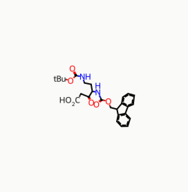 CC(C)(C)OC(=O)NCCC(NC(=O)OCC1c2ccccc2-c2ccccc21)C(=O)CC(=O)O